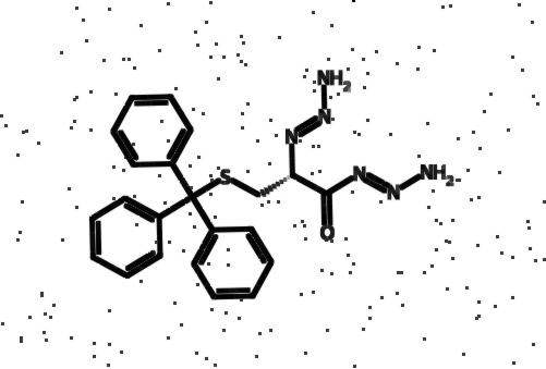 NN=NC(=O)[C@H](CSC(c1ccccc1)(c1ccccc1)c1ccccc1)N=NN